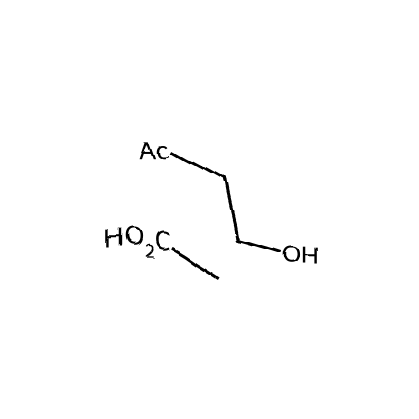 CC(=O)CCO.CC(=O)O